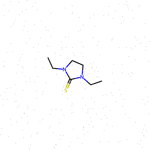 CCN1CCN(CC)C1=S